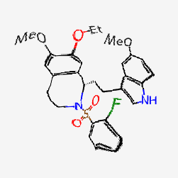 CCOc1cc2c(cc1OC)CCN(S(=O)(=O)c1ccccc1F)[C@H]2CCc1c[nH]c2ccc(OC)cc12